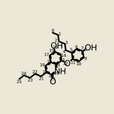 CCCCCc1cc(O)ccc1Oc1cc(O)cc2cc(CCCCC)c(=O)[nH]c12